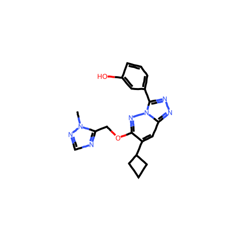 Cn1ncnc1COc1nn2c(-c3cccc(O)c3)nnc2cc1C1CCC1